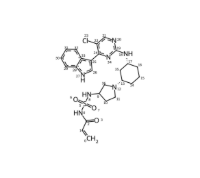 C=CC(=O)NS(=O)(=O)NC1CCN([C@H]2CCC[C@@H](Nc3ncc(Cl)c(-c4c[nH]c5ccccc45)n3)C2)C1